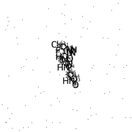 O=C1C=C(c2c(-n3cnnn3)ccc(Cl)c2F)C[C@@H]2CC[C@@H](c3ncc(-c4ccc5[nH]c(=O)ccc5c4)[nH]3)N12